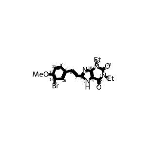 CCn1c(=O)c2[nH]c(C=Cc3ccc(OC)c(Br)c3)nc2n(CC)c1=O